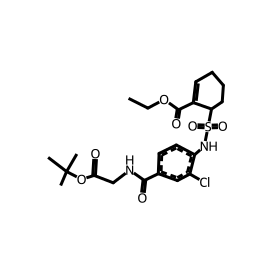 CCOC(=O)C1=CCCCC1S(=O)(=O)Nc1ccc(C(=O)NCC(=O)OC(C)(C)C)cc1Cl